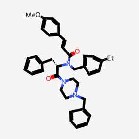 CCc1ccc(CN(C(=O)C=Cc2ccc(OC)cc2)[C@@H](Cc2ccccc2)C(=O)N2CCN(Cc3ccccc3)CC2)cc1